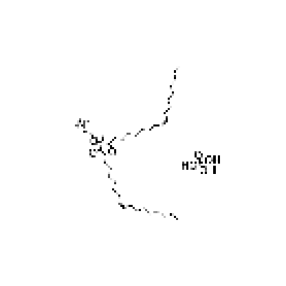 CCCCCCCC/C=C\CCCCCCCC(=O)C(C)(OCC[N+](C)(C)C)C(=O)CCCCCCC/C=C\CCCCCCCC.O=P(O)(O)O